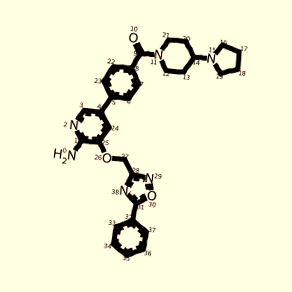 Nc1ncc(-c2ccc(C(=O)N3CCC(N4CCCC4)CC3)cc2)cc1OCc1noc(-c2ccccc2)n1